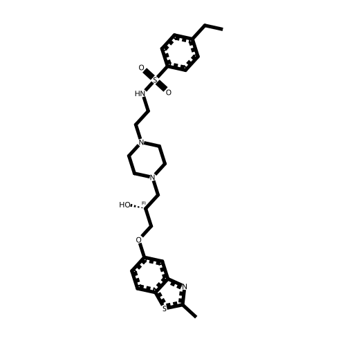 CCc1ccc(S(=O)(=O)NCCN2CCN(C[C@@H](O)COc3ccc4sc(C)nc4c3)CC2)cc1